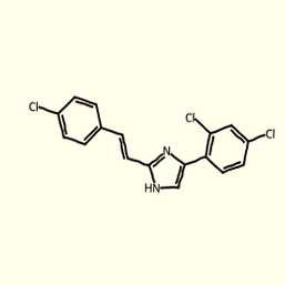 Clc1ccc(C=Cc2nc(-c3ccc(Cl)cc3Cl)c[nH]2)cc1